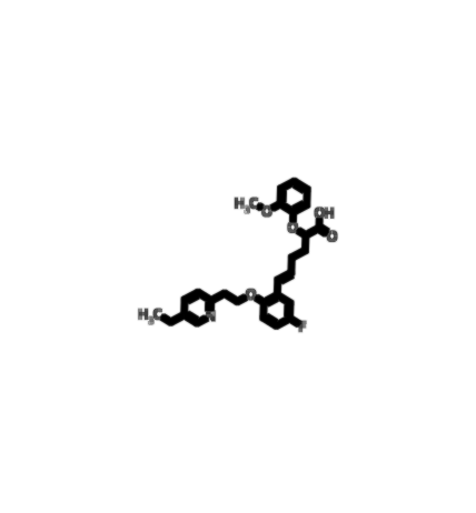 CCc1ccc(CCOc2ccc(F)cc2C=CCCC(Oc2ccccc2OC)C(=O)O)nc1